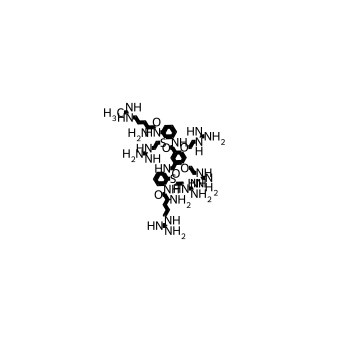 CC(=N)NCCC[C@@H](N)C(=O)Nc1cccc(NC(=O)c2cc(C(=O)Nc3cccc(NC(=O)[C@H](N)CCCNC(=N)N)c3SCCNC(=N)N)c(OCCNC(=N)N)cc2OCCNC(=N)N)c1SCCNC(=N)N